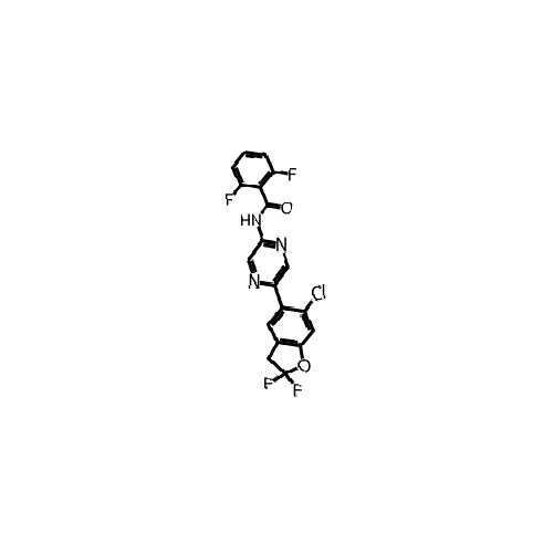 O=C(Nc1cnc(-c2cc3c(cc2Cl)OC(F)(F)C3)cn1)c1c(F)cccc1F